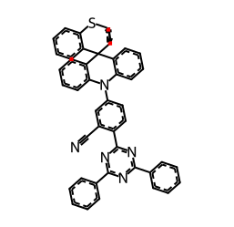 N#Cc1cc(N2c3ccccc3C3(c4ccccc4Sc4ccccc43)c3ccccc32)ccc1-c1nc(-c2ccccc2)nc(-c2ccccc2)n1